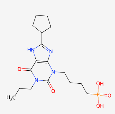 CCCn1c(=O)c2[nH]c(C3CCCC3)nc2n(CCCCP(=O)(O)O)c1=O